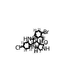 O=C1NC[C@@H]2N[C@@]3(C(=O)Nc4cc(Cl)ccc43)[C@@H](c3cccc(Br)c3F)[C@H]12